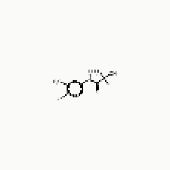 CC(O)(C(=O)O)C(=O)Nc1ccc(Cl)c(C(F)(F)F)c1